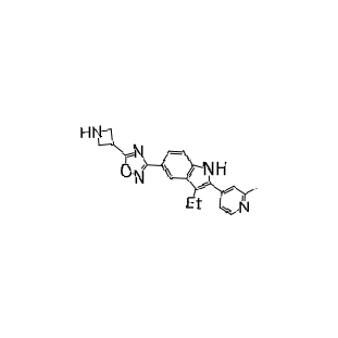 CCc1c(-c2ccnc(C)c2)[nH]c2ccc(-c3noc(C4CNC4)n3)cc12